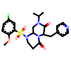 COc1ccc(Cl)cc1S(=O)(=O)N1CCC(=O)N2C(Cc3ccncc3)C(=O)N(C(C)C)CC21